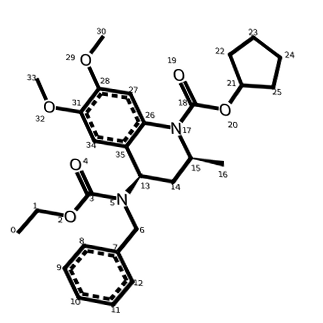 CCOC(=O)N(Cc1ccccc1)[C@@H]1C[C@H](C)N(C(=O)OC2CCCC2)c2cc(OC)c(OC)cc21